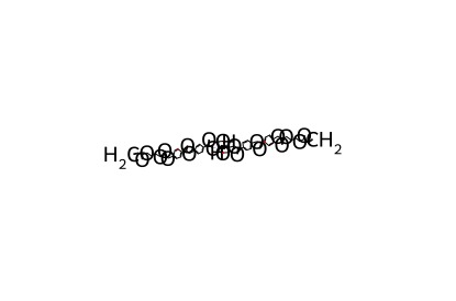 C=CC(=O)OCCOC(=O)Oc1ccc(C(=O)Oc2ccc(C(=O)OC3CO[C@H]4[C@H](OC(=O)c5ccc(OC(=O)c6ccc(OC(=O)OCCOC(=O)C=C)cc6)cc5)CO[C@@H]34)cc2)cc1